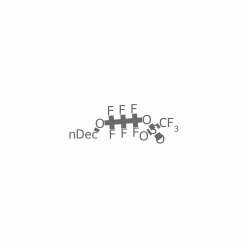 CCCCCCCCCCOC(F)(F)C(F)(F)C(F)(F)OS(=O)(=O)C(F)(F)F